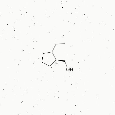 CCC1CCC[C@@H]1CO